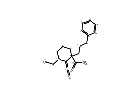 NCN1CCCC(COCc2ccccc2)(C(=O)C(F)(F)F)C1=C=O